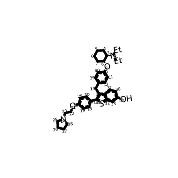 CCN(CC)[C@@H]1CCCC[C@H]1Oc1ccc(Cc2c(-c3ccc(OCCN4CCCC4)cc3)sc3cc(O)ccc23)cc1